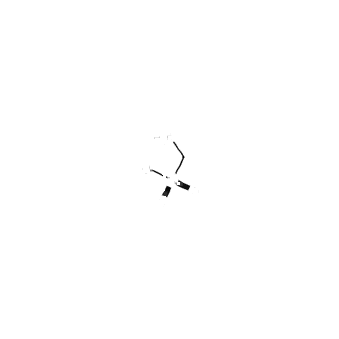 BCS(=O)(=O)Cl